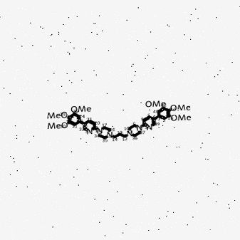 COc1cc(-c2ccc(N3CCN(CCCN4CCN(c5ccc(-c6cc(OC)c(OC)c(OC)c6)cn5)CC4)CC3)nc2)cc(OC)c1OC